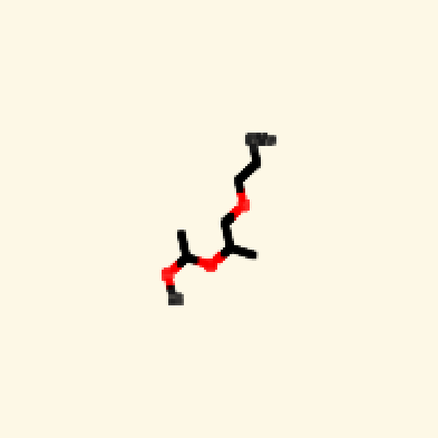 CCOC(C)OC(C)COCCOC